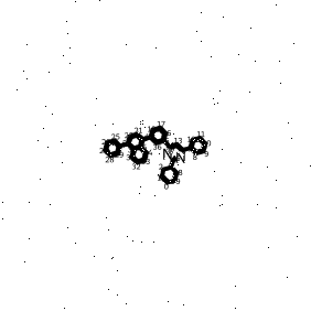 C1=CCC(c2nc(-c3ccccc3)cc(-c3cccc(-c4ccc(-c5ccccc5)c5ccccc45)c3)n2)C=C1